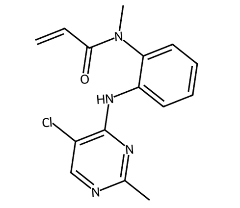 C=CC(=O)N(C)c1ccccc1Nc1nc(C)ncc1Cl